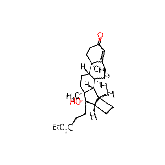 CCOC(=O)CC[C@]1(O)[C@H]2CC[C@H]2[C@H]2[C@@H]3CCC4=CC(=O)CC[C@]4(C)[C@H]3CC[C@@]21C